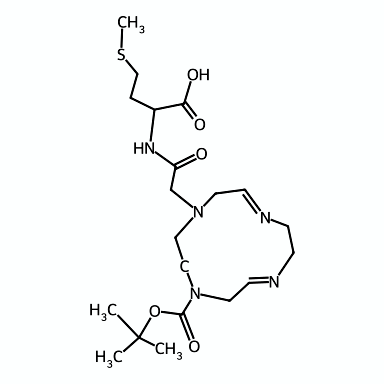 CSCCC(NC(=O)CN1C/C=N/CC/N=C/CN(C(=O)OC(C)(C)C)CC1)C(=O)O